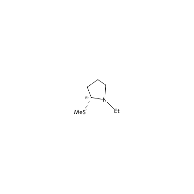 CCN1CCC[C@H]1SC